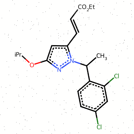 CCOC(=O)C=Cc1cc(OC(C)C)nn1C(C)c1ccc(Cl)cc1Cl